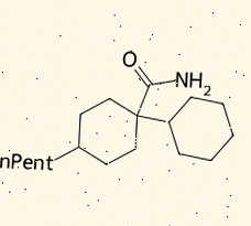 CCCCCC1CCC(C(N)=O)(C2CCCCC2)CC1